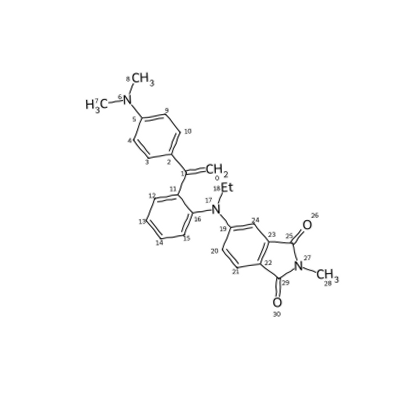 C=C(c1ccc(N(C)C)cc1)c1ccccc1N(CC)c1ccc2c(c1)C(=O)N(C)C2=O